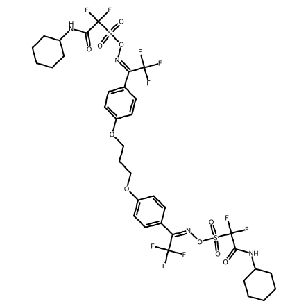 O=C(NC1CCCCC1)C(F)(F)S(=O)(=O)O/N=C(/c1ccc(OCCCOc2ccc(/C(=N/OS(=O)(=O)C(F)(F)C(=O)NC3CCCCC3)C(F)(F)F)cc2)cc1)C(F)(F)F